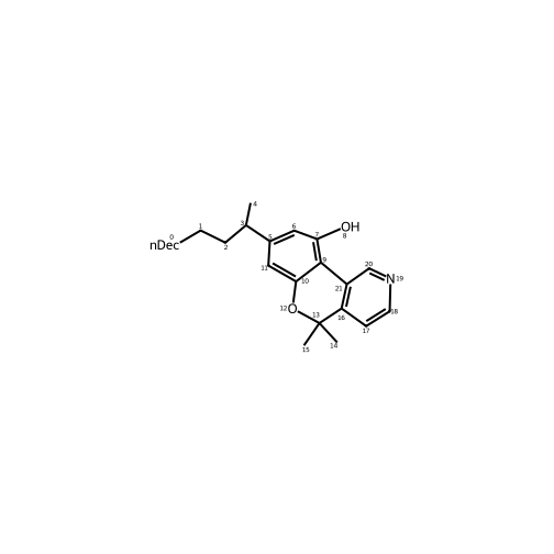 CCCCCCCCCCCCC(C)c1cc(O)c2c(c1)OC(C)(C)c1ccncc1-2